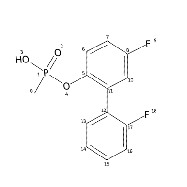 CP(=O)(O)Oc1ccc(F)cc1-c1ccccc1F